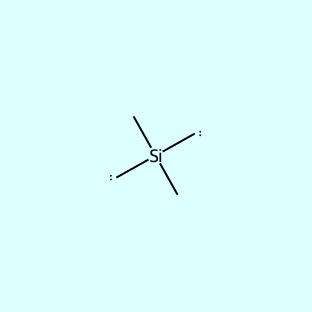 [CH][Si]([CH])(C)C